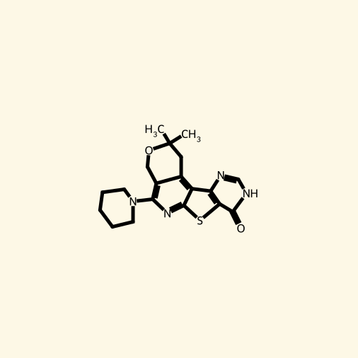 CC1(C)Cc2c(c(N3CCCCC3)nc3sc4c(=O)[nH]cnc4c23)CO1